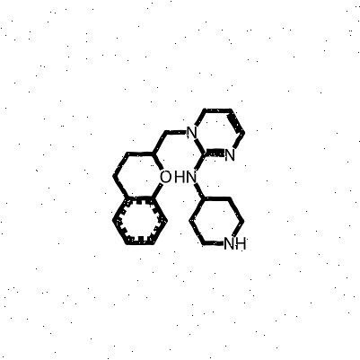 C1=CN=C(NC2CCNCC2)N(CC2CCc3ccccc3O2)C1